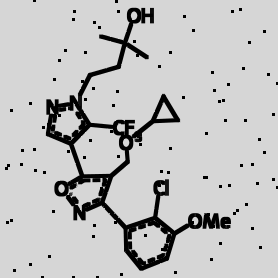 COc1cccc(-c2noc(-c3cnn(CCC(C)(C)O)c3C(F)(F)F)c2COC2CC2)c1Cl